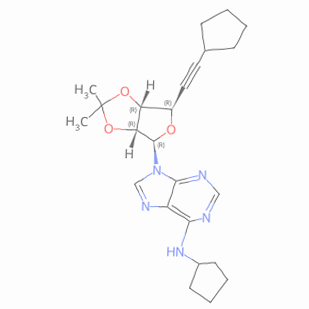 CC1(C)O[C@@H]2[C@H](O1)[C@@H](C#CC1CCCC1)O[C@H]2n1cnc2c(NC3CCCC3)ncnc21